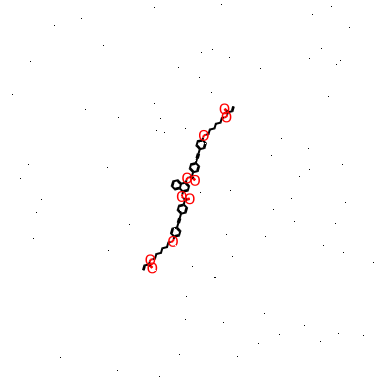 C=CC(=O)OCCCCCCOc1ccc(C#Cc2ccc(C(=O)Oc3ccc(OC(=O)c4ccc(C#Cc5ccc(OCCCCCCOC(=O)C=C)cc5)cc4)c4ccccc34)cc2)cc1